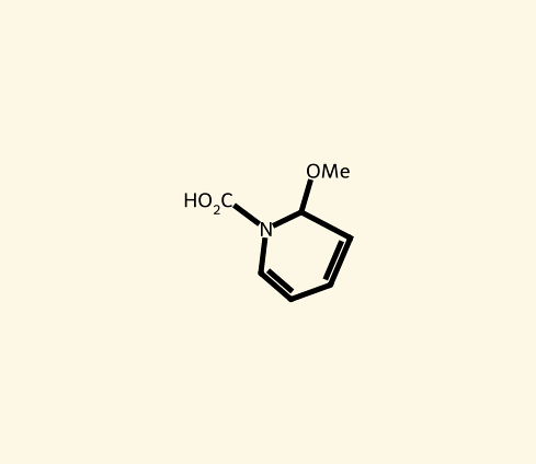 COC1C=CC=CN1C(=O)O